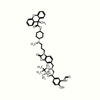 CN(CCCn1c(=O)oc2cc(CNC[C@H](O[Si](C)(C)C(C)(C)C)c3ccc(O)c(NC=O)c3)ccc21)[C@H]1CC[C@H](OC(=O)C2(C)c3ccccc3Oc3ccccc32)CC1